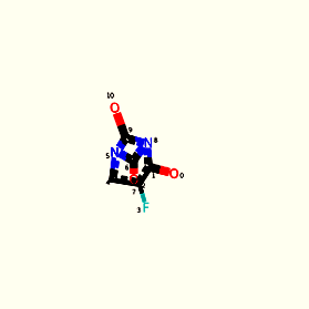 O=c1c(F)cn2c(=O)n1c2=O